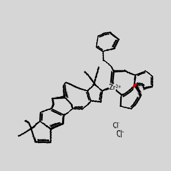 CC1(C)C=Cc2cc3c(cc21)Cc1cc2c(cc1-3)C=[C]([Zr+2]([C]1=CC=CC1)=[C](Cc1ccccc1)Cc1ccccc1)C2(C)C.[Cl-].[Cl-]